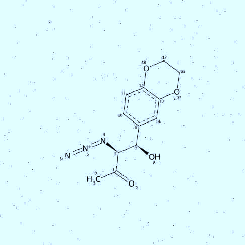 CC(=O)[C@@H](N=[N+]=[N-])[C@H](O)c1ccc2c(c1)OCCO2